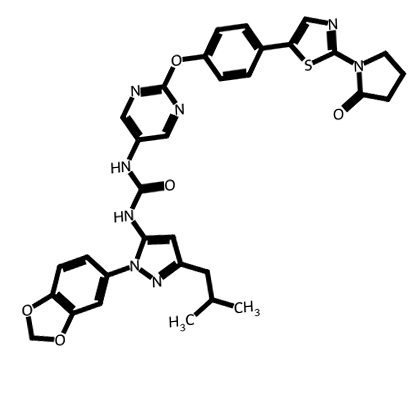 CC(C)Cc1cc(NC(=O)Nc2cnc(Oc3ccc(-c4cnc(N5CCCC5=O)s4)cc3)nc2)n(-c2ccc3c(c2)OCO3)n1